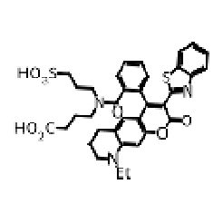 CCN1CCCc2cc3c(-c4ccccc4C(=O)N(CCCC(=O)O)CCCS(=O)(=O)O)c(-c4nc5ccccc5s4)c(=O)oc3cc21